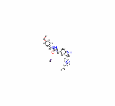 CCCC[N+](C)(C)CCc1c[nH]c2ccc(/C=C/C(=O)NCc3ccc(OC)cc3)cc12.[I-]